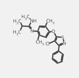 CNC(=Nc1cc(C)c(Oc2snc(-c3ccccc3)c2Cl)cc1C)C(C)C